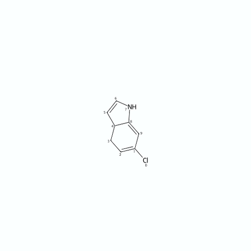 ClC1=CCC2C=CNC2=C1